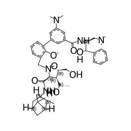 COc1c(CN2O[C@@H](CO)[C@@H]([C@H](C)O)[C@H]2C(=O)N[C@H]2C[C@H]3C[C@@H]([C@@H]2C)C3(C)C)cccc1-c1cc(C(=O)N[C@@H](CN(C)C)C(O)c2ccccc2)cc(N(C)C)c1